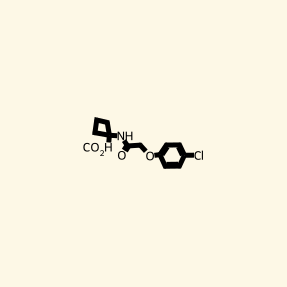 O=C(COc1ccc(Cl)cc1)NC1(C(=O)O)CCC1